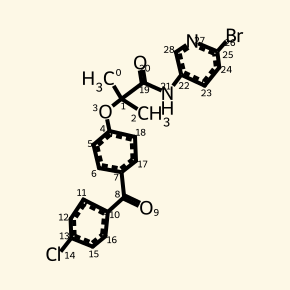 CC(C)(Oc1ccc(C(=O)c2ccc(Cl)cc2)cc1)C(=O)Nc1ccc(Br)nc1